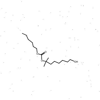 CCCCCCOC(=O)OC(C)(C)CCCCCCO